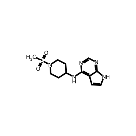 CS(=O)(=O)N1CCC(Nc2ncnc3[nH]ccc23)CC1